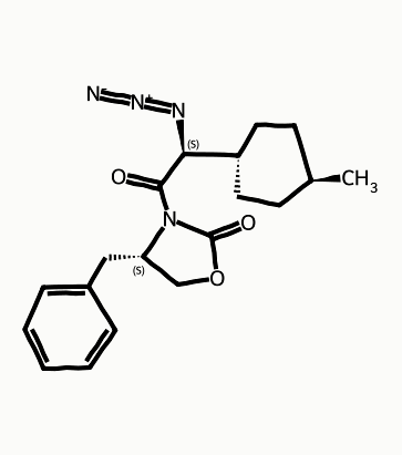 C[C@H]1CC[C@H]([C@H](N=[N+]=[N-])C(=O)N2C(=O)OC[C@@H]2Cc2ccccc2)CC1